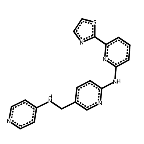 c1cc(Nc2ccc(CNc3ccncc3)cn2)nc(-c2nccs2)c1